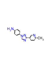 Cc1ccc(-c2ncn(-c3ccc(N)cc3)n2)cn1